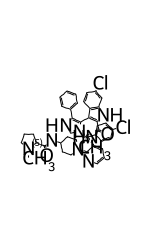 C[C@@H](c1ccc(Cl)cc1)n1cnc(-c2ccccc2)c1-c1c(C(=O)Nc2cccnc2N2CCC(NC(=O)[C@@H]3CCCN3C)CC2)[nH]c2cc(Cl)ccc12